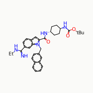 CCNC(=N)c1ccc2cc(C(=O)N[C@H]3CC[C@H](NC(=O)OC(C)(C)C)CC3)n(Cc3ccc4ccccc4c3)c2c1